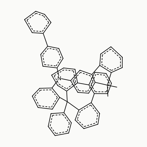 CC1(C)c2ccccc2-c2cc(N(c3ccc(-c4ccccc4)cc3)c3ccccc3C3(c4ccccc4)c4ccccc4-c4ccccc4-c4ccccc43)ccc21